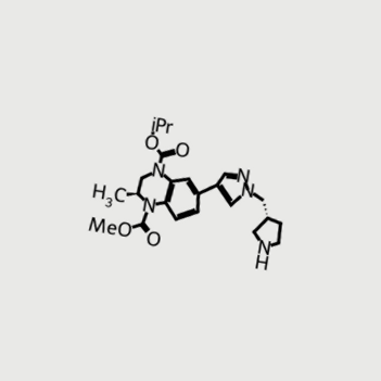 COC(=O)N1c2ccc(-c3cnn(C[C@@H]4CCNC4)c3)cc2N(C(=O)OC(C)C)C[C@@H]1C